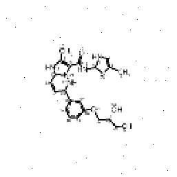 CC1=CNC(NC(=O)C2=C(C)NC3C=CC(c4cccc(OC[C@H](O)CO)c4)NN23)S1